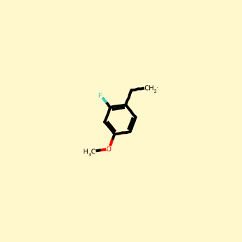 [CH2]Cc1ccc(OC)cc1F